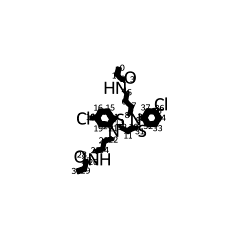 C=CC(=O)NCCCCN1C(=Cc2sc3ccc(Cl)cc3[n+]2CCCCNC(=O)C=C)Sc2ccc(Cl)cc21